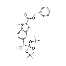 CC(C)(C)OP(=O)(OC(C)(C)C)C(O)c1ccc2[nH]c(C(=O)OCc3ccccc3)cc2c1